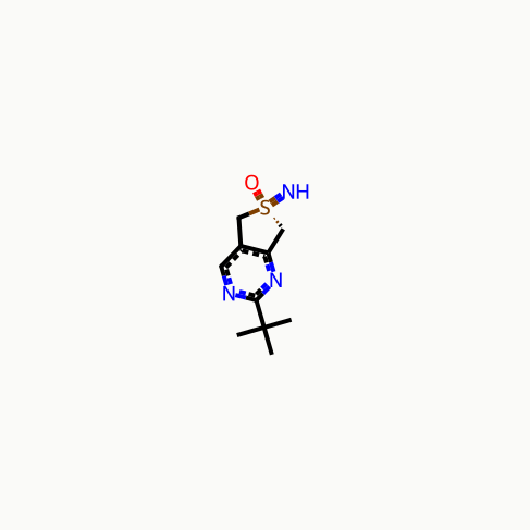 CC(C)(C)c1ncc2c(n1)C[S@@](=N)(=O)C2